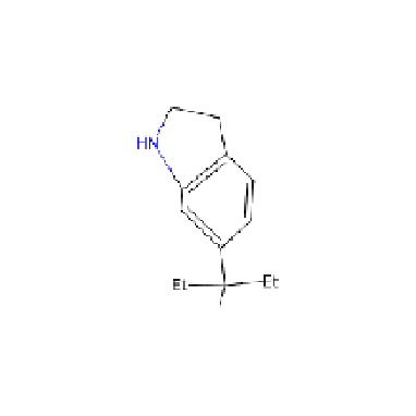 CCC(C)(CC)c1ccc2c(c1)NCC2